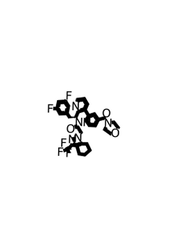 O=C(Cn1nc(C(F)(F)F)c2c1CCCC2)N[C@@H](Cc1cc(F)cc(F)c1)c1ncccc1-c1cccc(C(=O)N2CCOCC2)c1